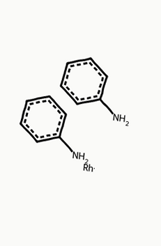 Nc1ccccc1.Nc1ccccc1.[Rh]